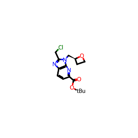 CC(C)(C)OC(=O)c1ccc2nc(CCl)n(C[C@@H]3CCO3)c2n1